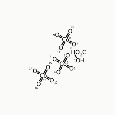 O=C(O)O.[O]=[Co](=[O])(=[O])=[O].[O]=[Co](=[O])(=[O])=[O].[O]=[Co](=[O])(=[O])=[O]